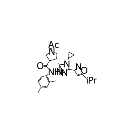 CC(=O)N1C[C@H](C(=O)Nc2ccc(C)cc2C)[C@@H](c2nnc(-c3cc(C(C)C)on3)n2C2CC2)C1